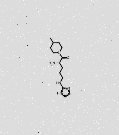 CC1CCN(C(=O)[C@@H](N)CCCNc2ncc[nH]2)CC1